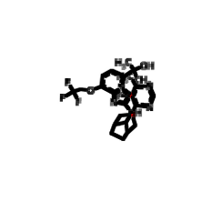 Cc1ncnc(N2CC3CCC(C2)C3Nc2nc3c(OCC(F)(F)F)ccc(C(C)(C)O)n3n2)c1F